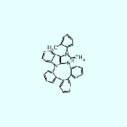 Cc1ccccc1N1c2c3ccccc3n3c4ccccc4c4ccccc4c4ccccc4n(c23)[C@@H]1C